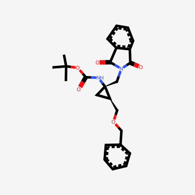 CC(C)(C)OC(=O)N[C@@]1(CN2C(=O)c3ccccc3C2=O)C[C@@H]1COCc1ccccc1